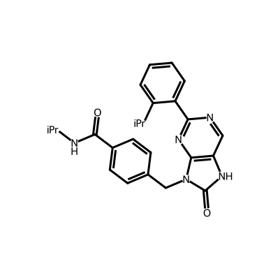 CC(C)NC(=O)c1ccc(Cn2c(=O)[nH]c3cnc(-c4ccccc4C(C)C)nc32)cc1